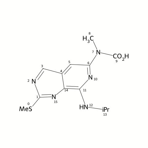 CSc1ncc2cc(N(C)C(=O)O)nc(NC(C)C)c2n1